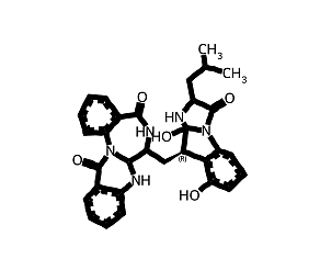 CC(C)CC1NC2(O)[C@H](CC3NC(=O)c4ccccc4N4C(=O)c5ccccc5NC34)c3c(O)cccc3N2C1=O